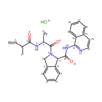 CNC(C)C(=O)NC(C(=O)N1Cc2ccccc2C1C(=O)Nc1nccc2ccccc12)C(C)C.Cl